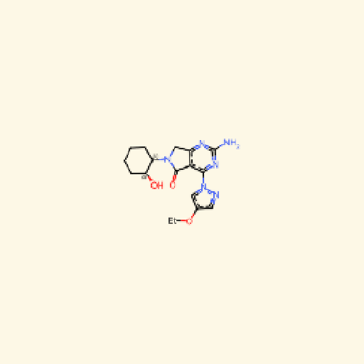 CCOc1cnn(-c2nc(N)nc3c2C(=O)N([C@@H]2CCCC[C@@H]2O)C3)c1